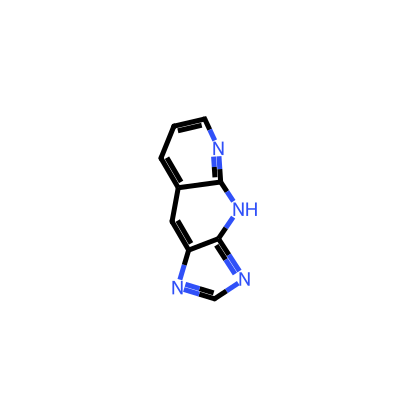 c1cnc2[nH]c3ncnc-3cc2c1